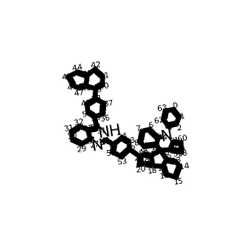 c1ccc(N2c3ccccc3C3(c4ccccc4-c4ccc(-c5ccc(C6N=c7ccccc7=C(c7ccc(-c8cccc9ccccc89)cc7)N6)cc5)cc43)c3ccccc32)cc1